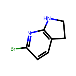 Brc1ccc2c(n1)NCC2